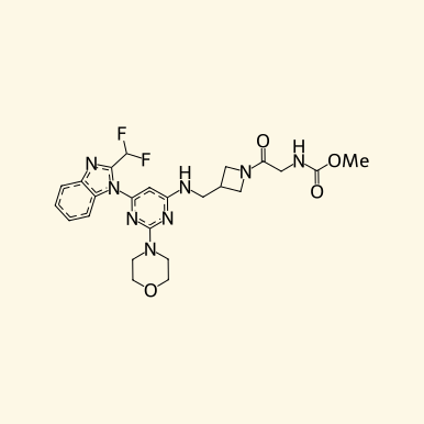 COC(=O)NCC(=O)N1CC(CNc2cc(-n3c(C(F)F)nc4ccccc43)nc(N3CCOCC3)n2)C1